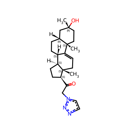 C[C@@]1(O)CC[C@]2(C)C3=CC[C@]4(C)[C@@H](C(=O)Cn5ccnn5)CC[C@H]4[C@@H]3CC[C@@H]2C1